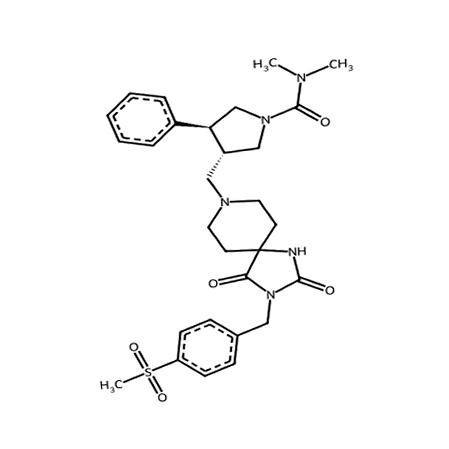 CN(C)C(=O)N1C[C@H](CN2CCC3(CC2)NC(=O)N(Cc2ccc(S(C)(=O)=O)cc2)C3=O)[C@@H](c2ccccc2)C1